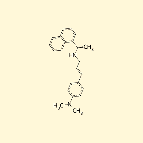 C[C@@H](NC/C=C/c1ccc(N(C)C)cc1)c1cccc2ccccc12